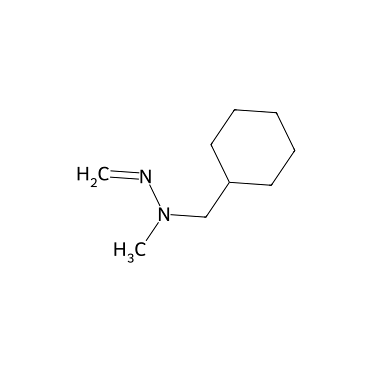 C=NN(C)CC1CCCCC1